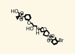 Cc1c(Br)cccc1S(=O)(=O)N1CCC2(CC1)CC(NCC(O)COc1cccc(S(=O)(=O)C3(CO)CC3)c1)CO2